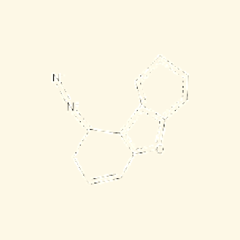 [N-]=[N+]=C1CC=Cc2oc3ccccc3c21